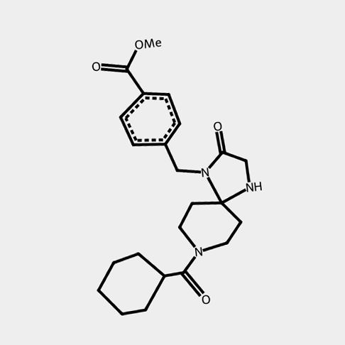 COC(=O)c1ccc(CN2C(=O)CNC23CCN(C(=O)C2CCCCC2)CC3)cc1